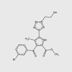 COC(=O)c1[nH]c(-c2nnn(CCO)n2)c(C)c1C(=O)c1cccc(Br)c1